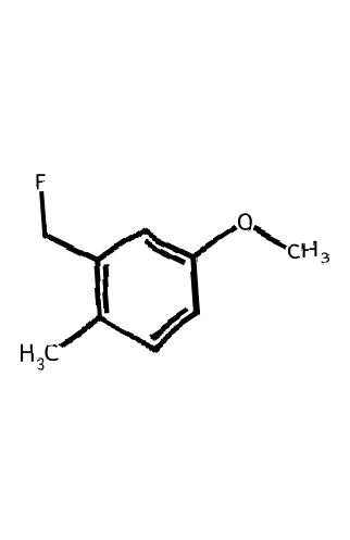 COc1ccc(C)c(CF)c1